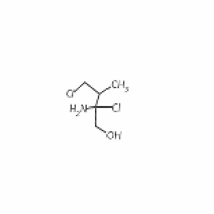 CC(CCl)C(N)(Cl)CO